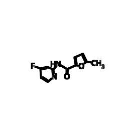 Cc1ccc(C(=O)Nc2cc(F)ccn2)o1